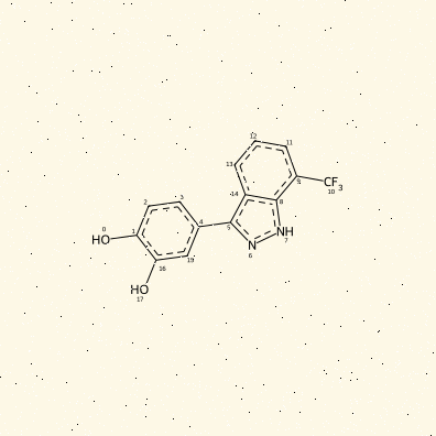 Oc1ccc(-c2n[nH]c3c(C(F)(F)F)cccc23)cc1O